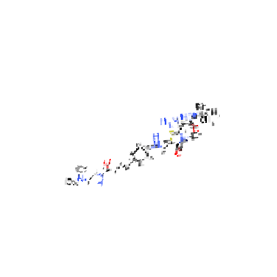 CCN(CC)CCNC(=O)CCCc1ccc(NC[C@H]2SC([C@H](N)C(=O)NC(C)(C)CC)N(CC)C2=O)cc1